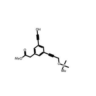 COC(=O)Cc1cc(C#CO)cc(C#CCO[Si](C)(C)C(C)(C)C)c1